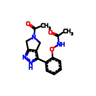 CC(=O)NOc1ccccc1-c1[nH]nc2c1CN(C(C)=O)C2